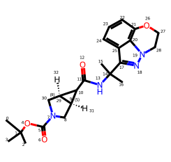 CC(C)(C)OC(=O)N1C[C@@H]2C(C(=O)NC(C)(C)c3nn4c5c(cccc35)OCC4)[C@@H]2C1